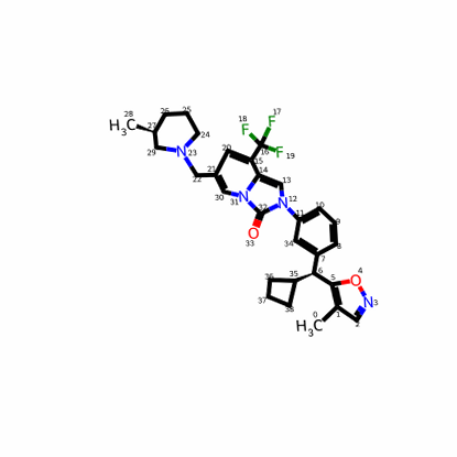 Cc1cnoc1[C@H](c1cccc(-n2cc3c(C(F)(F)F)cc(CN4CCC[C@H](C)C4)cn3c2=O)c1)C1CCC1